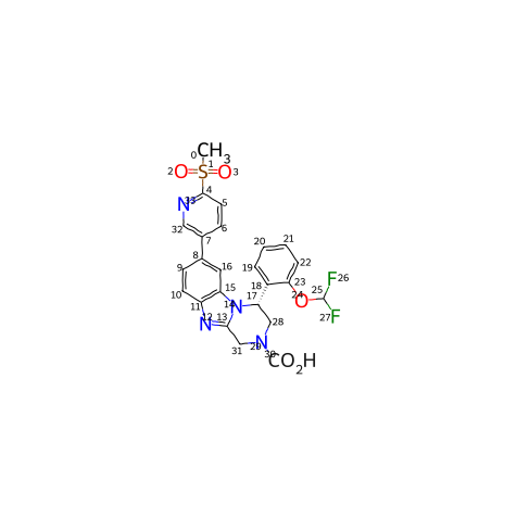 CS(=O)(=O)c1ccc(-c2ccc3nc4n(c3c2)[C@H](c2ccccc2OC(F)F)CN(C(=O)O)C4)cn1